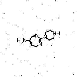 NC1=CCN=C(N2CCNCC2)N=C1